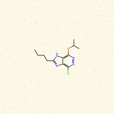 CCCCc1nc2c(Cl)nnc(OC(C)C)c2[nH]1